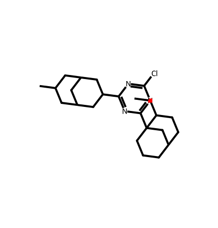 CCC1CCC2CCCC1(c1nc(Cl)nc(C3CC4CC(C)CC(C4)C3)n1)C2